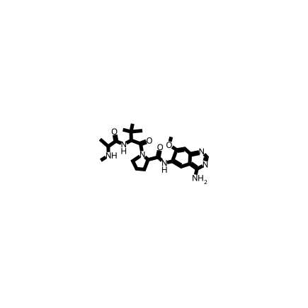 CNC(C)C(=O)NC(C(=O)N1CCCC1C(=O)Nc1cc2c(N)ncnc2cc1OC)C(C)(C)C